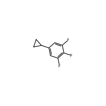 Fc1cc([C]2CC2)cc(F)c1F